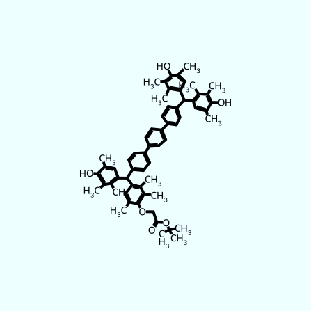 Cc1cc(C(c2ccc(-c3ccc(-c4ccc(C(c5cc(C)c(O)c(C)c5C)c5cc(C)c(OCC(=O)OC(C)(C)C)c(C)c5C)cc4)cc3)cc2)c2cc(C)c(O)c(C)c2C)c(C)c(C)c1O